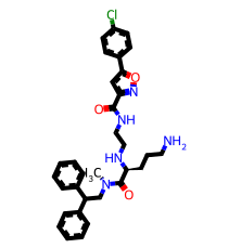 CN(CC(c1ccccc1)c1ccccc1)C(=O)[C@H](CCCN)NCCNC(=O)c1cc(-c2ccc(Cl)cc2)on1